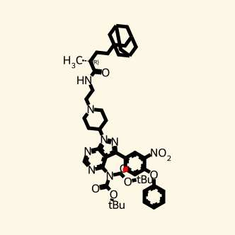 C[C@H](CCC12CC3CC(CC(C3)C1)C2)C(=O)NCCN1CCC(n2nc(-c3ccc(Oc4ccccc4)c([N+](=O)[O-])c3)c3c(N(C(=O)OC(C)(C)C)C(=O)OC(C)(C)C)ncnc32)CC1